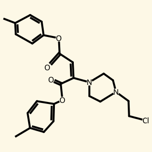 Cc1ccc(OC(=O)/C=C(\C(=O)Oc2ccc(C)cc2)N2CCN(CCCl)CC2)cc1